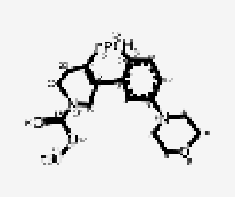 CCCC1=C(c2cc(N3CCOCC3)ccc2C)CN(C(=O)OC(C)(C)C)CC1